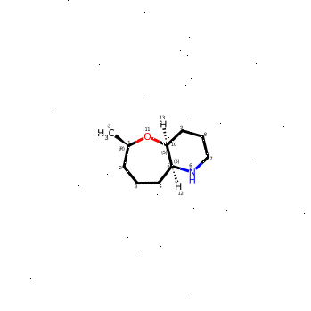 C[C@@H]1CCC[C@@H]2NCCC[C@@H]2O1